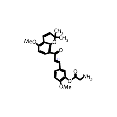 COc1ccc(/C=C/C(=O)c2ccc(OC)c3c2OC(C)(C)C=C3)cc1OC(=O)CN